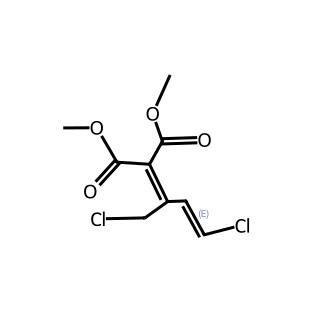 COC(=O)C(C(=O)OC)=C(/C=C/Cl)CCl